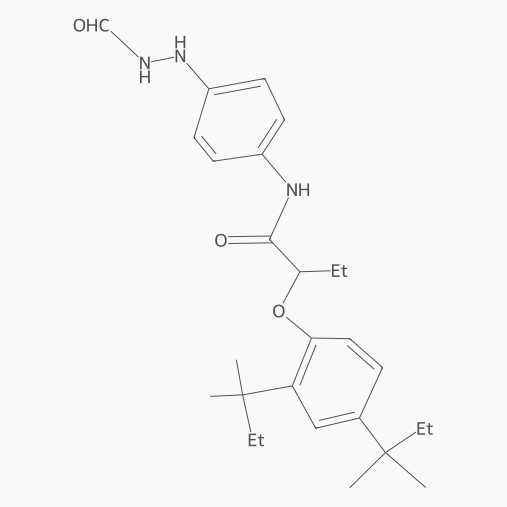 CCC(Oc1ccc(C(C)(C)CC)cc1C(C)(C)CC)C(=O)Nc1ccc(NNC=O)cc1